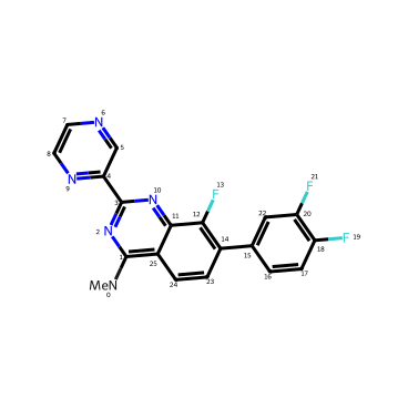 CNc1nc(-c2cnccn2)nc2c(F)c(-c3ccc(F)c(F)c3)ccc12